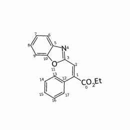 CCOC(=O)C(=Cc1nc2ccccc2o1)c1ccccc1